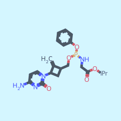 C=C1C(COP(NCC(=O)OC(C)C)Oc2ccccc2)CC1n1ccc(N)nc1=O